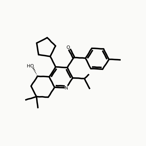 Cc1ccc(C(=O)c2c(C(C)C)nc3c(c2C2CCCC2)[C@@H](O)CC(C)(C)C3)cc1